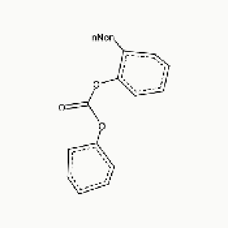 CCCCCCCCCc1ccccc1OC(=O)Oc1ccccc1